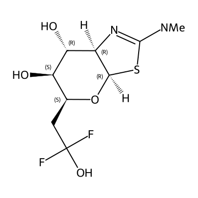 CNC1=N[C@@H]2[C@@H](O)[C@H](O)[C@H](CC(O)(F)F)O[C@@H]2S1